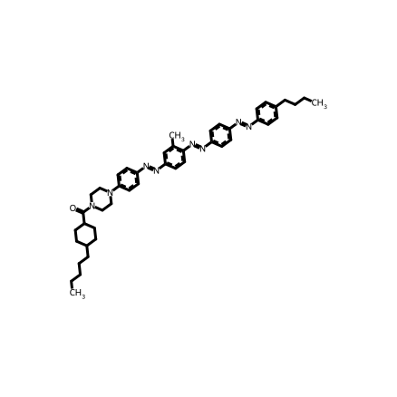 CCCCCC1CCC(C(=O)N2CCN(c3ccc(N=Nc4ccc(N=Nc5ccc(N=Nc6ccc(CCCC)cc6)cc5)c(C)c4)cc3)CC2)CC1